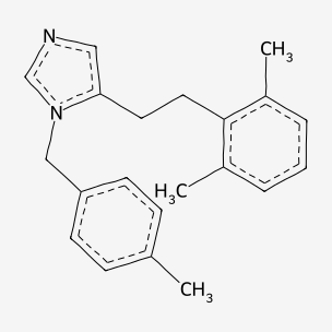 Cc1ccc(Cn2cncc2CCc2c(C)cccc2C)cc1